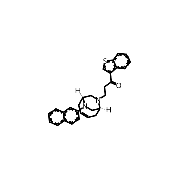 O=C(CCN1C[C@@H]2C/C=C\C[C@H]1CN2c1ccc2ccccc2c1)c1csc2ccccc12